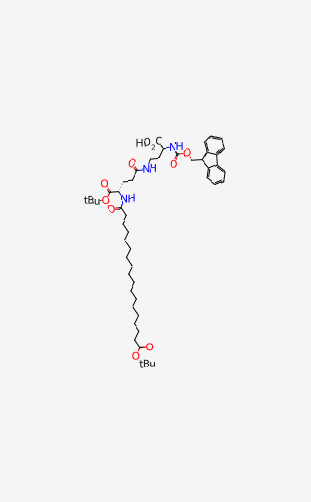 CC(C)(C)OC(=O)CCCCCCCCCCCCCCCCC(=O)N[C@@H](CCC(=O)NCC[C@H](NC(=O)OCC1c2ccccc2-c2ccccc21)C(=O)O)C(=O)OC(C)(C)C